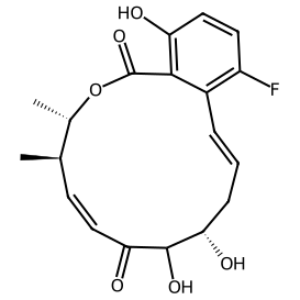 C[C@@H]1/C=C\C(=O)C(O)[C@@H](O)C/C=C/c2c(F)ccc(O)c2C(=O)O[C@H]1C